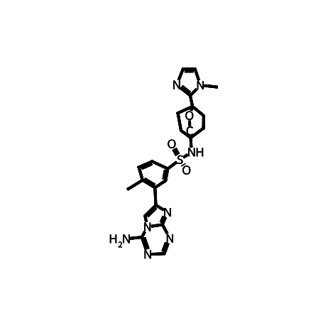 Cc1ccc(S(=O)(=O)NC23CCC(c4nccn4C)(CC2)OC3)cc1-c1cn2c(N)ncnc2n1